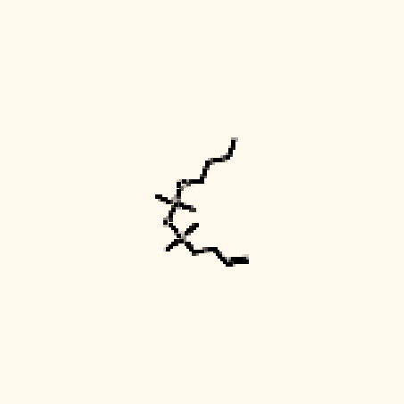 C=CCC[Si](C)(C)O[Si](C)(C)OCCCC